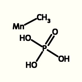 O=P(O)(O)O.[CH3][Mn]